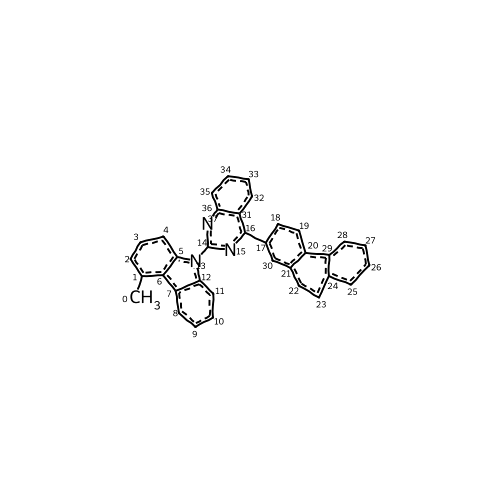 Cc1cccc2c1c1ccccc1n2-c1nc(-c2ccc3c(ccc4ccccc43)c2)c2ccccc2n1